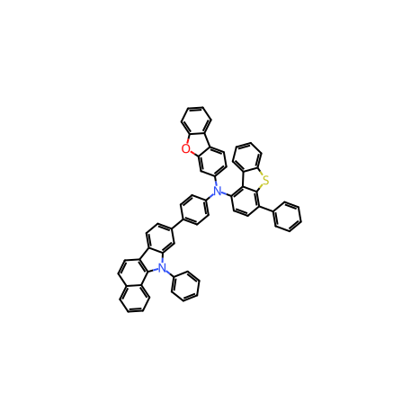 c1ccc(-c2ccc(N(c3ccc(-c4ccc5c6ccc7ccccc7c6n(-c6ccccc6)c5c4)cc3)c3ccc4c(c3)oc3ccccc34)c3c2sc2ccccc23)cc1